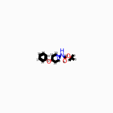 CC(C)(C)OC(=O)NN1CCC(Oc2ccccc2)CC1